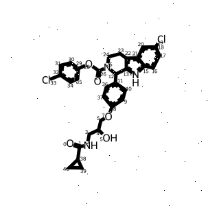 O=C(NCC(O)COc1ccc(C2c3[nH]c4ccc(Cl)cc4c3CCN2C(=O)Oc2ccc(Cl)cc2)cc1)C1CC1